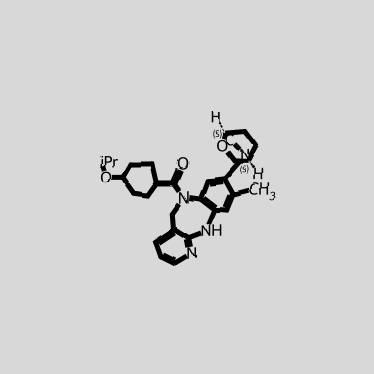 Cc1cc2c(cc1N1C[C@@H]3CC[C@H]1CO3)N(C(=O)C1CCC(OC(C)C)CC1)Cc1cccnc1N2